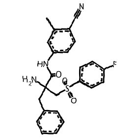 Cc1cc(NC(=O)C(N)(Cc2ccccc2)CS(=O)(=O)c2ccc(F)cc2)ccc1C#N